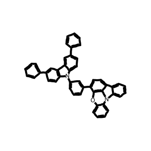 c1ccc(-c2ccc3c(c2)c2cc(-c4ccccc4)ccc2n3-c2cccc(-c3ccc4c5ccccc5n5c4c3Oc3ccccc3-5)c2)cc1